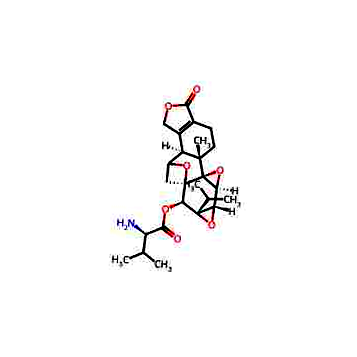 CC(C)[C@@H](N)C(=O)O[C@@H]1[C@@]2(C(C)C)O[C@H]2[C@@H]2O[C@@]23[C@@]2(C)CCC4=C(COC4=O)[C@@H]2C2C[C@@]13O2